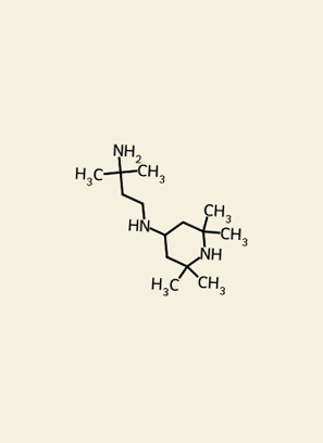 CC(C)(N)CCNC1CC(C)(C)NC(C)(C)C1